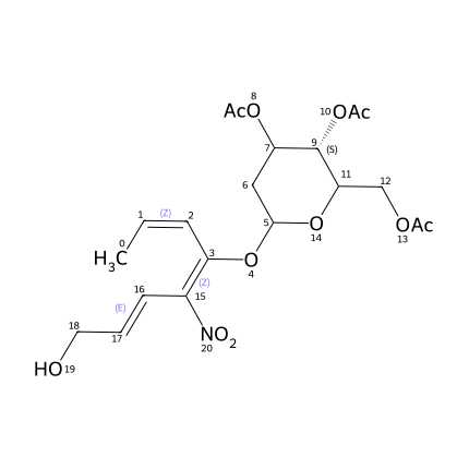 C\C=C/C(OC1CC(OC(C)=O)[C@H](OC(C)=O)C(COC(C)=O)O1)=C(\C=C\CO)[N+](=O)[O-]